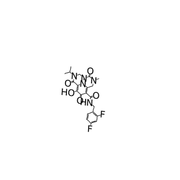 CC(C)N1CN2C(=O)N(C)Cc3c(C(=O)NCc4ccc(F)cc4F)c(=O)c(O)c(n32)C1=O